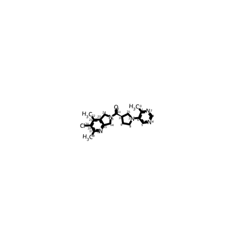 Cc1ncncc1N1CC[C@@H](C(=O)N2Cc3nc(C)c(Cl)c(C)c3C2)C1